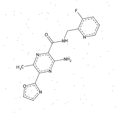 Cc1nc(C(=O)NCc2ncccc2F)c(N)nc1-c1ncco1